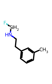 Cc1cccc(CCN[SiH2]F)c1